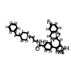 O=C(NCCN1CCC(Cc2ccccc2)CC1)c1ccc2c(c1)N(Cc1cccc(F)c1)C(=O)Cc1[nH]nnc1-2